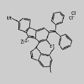 CCc1ccc2c(c1)[C]([Zr+2])=c1c-2cc(=C(c2ccccc2)c2ccccc2)c(CC)c1C1C=Cc2cc(C)cc(C)c21.[Cl-].[Cl-]